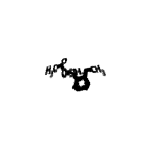 CCc1ccccc1[SiH2]OC(C)=O